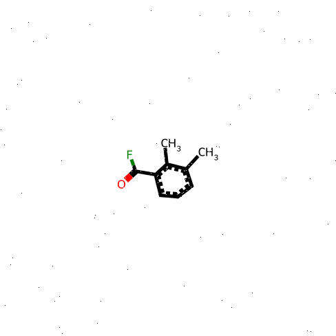 Cc1cccc(C(=O)F)c1C